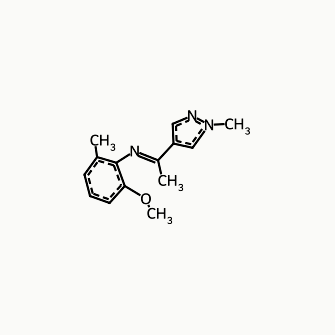 COc1cccc(C)c1N=C(C)c1cnn(C)c1